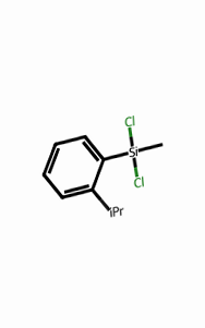 CC(C)c1ccccc1[Si](C)(Cl)Cl